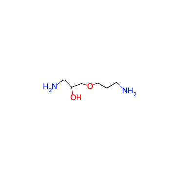 NCCCOCC(O)CN